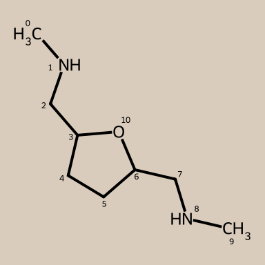 CNCC1CCC(CNC)O1